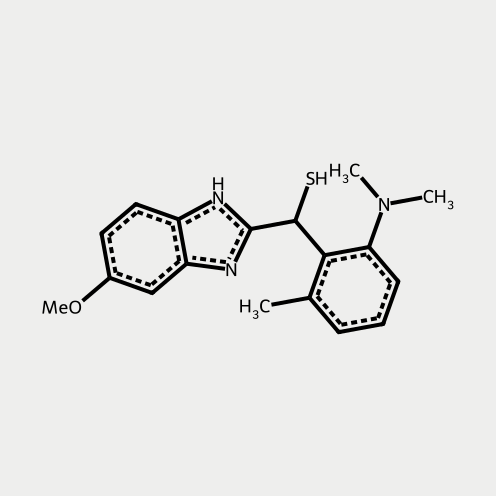 COc1ccc2[nH]c(C(S)c3c(C)cccc3N(C)C)nc2c1